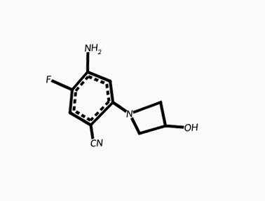 N#Cc1cc(F)c(N)cc1N1CC(O)C1